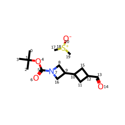 CC(C)(C)OC(=O)N1CC(C2CC(C=O)C2)C1.C[S+](C)[O-]